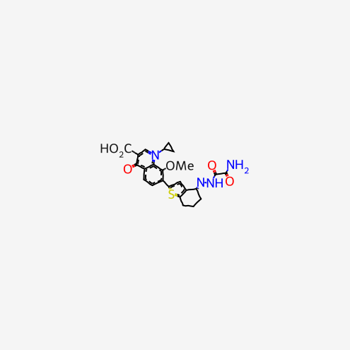 COc1c(-c2cc3c(s2)CCCC3=NNC(=O)C(N)=O)ccc2c(=O)c(C(=O)O)cn(C3CC3)c12